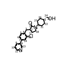 O=C1C(Cc2ccc(-c3cccnc3)cc2Cl)CCN1[C@H]1CC[C@@H](CO)CC1